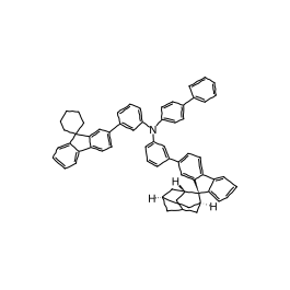 c1ccc(-c2ccc(N(c3cccc(-c4ccc5c(c4)C4(CCCCC4)c4ccccc4-5)c3)c3cccc(-c4ccc5c(c4)[C@]4(c6ccccc6-5)[C@@H]5CC6C[C@@H](C5)C[C@@H]4C6)c3)cc2)cc1